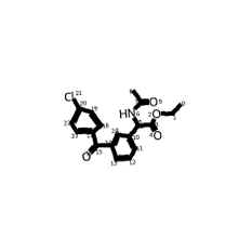 CCOC(=O)C(NC(C)=O)c1cccc(C(=O)c2ccc(Cl)cc2)c1